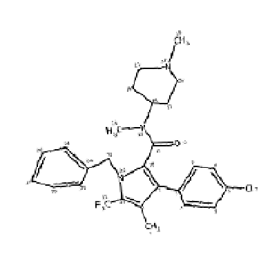 Cc1c(-c2ccc(Cl)cc2)c(C(=O)N(C)C2CCN(C)CC2)n(Cc2ccccc2)c1C(F)(F)F